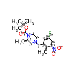 Cc1c(CN2CCN(C(=O)OC(C)(C)C)C(C)C2)cc(F)cc1[N+](=O)[O-]